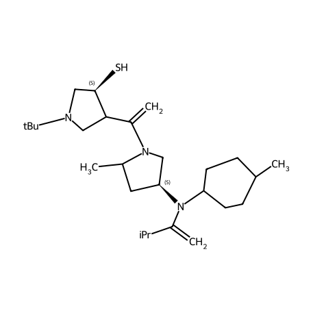 C=C(C1CN(C(C)(C)C)C[C@H]1S)N1C[C@@H](N(C(=C)C(C)C)C2CCC(C)CC2)CC1C